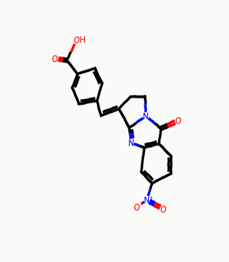 O=C(O)c1ccc(C=C2CCn3c2nc2cc([N+](=O)[O-])ccc2c3=O)cc1